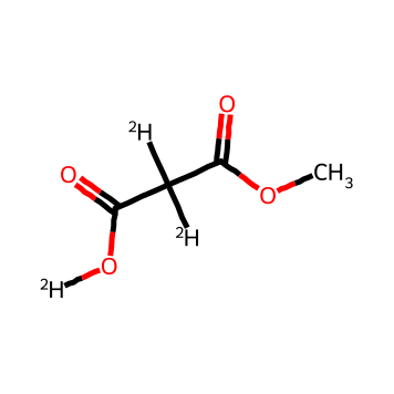 [2H]OC(=O)C([2H])([2H])C(=O)OC